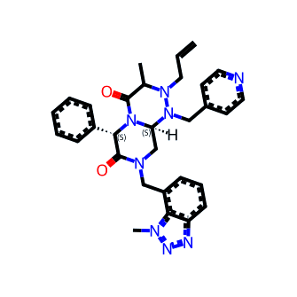 C=CCN1C(C)C(=O)N2[C@@H](c3ccccc3)C(=O)N(Cc3cccc4nnn(C)c34)C[C@@H]2N1Cc1ccncc1